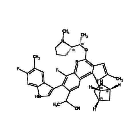 Cc1cc2c(-c3c(C(C)C#N)cc4c(nc(O[C@@H](C)[C@@H]5CCCN5C)c5cc(C)n([C@H]6[C@H]7CN[C@@H]6C7)c54)c3F)c[nH]c2cc1F